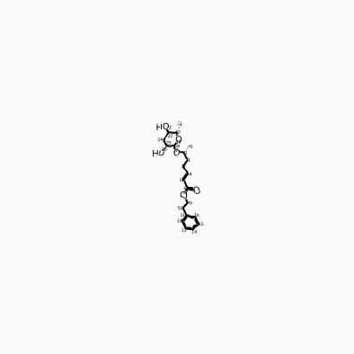 C[C@H](CC/C=C/C(=O)OCCc1ccccc1)OC1O[C@@H](C)C(O)C[C@H]1O